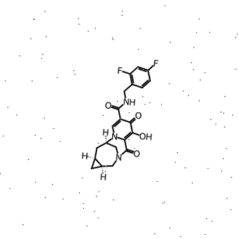 O=C(NCc1ccc(F)cc1F)c1cn2c(c(O)c1=O)C(=O)N1C[C@H]3C[C@H]3C[C@@H]2C1